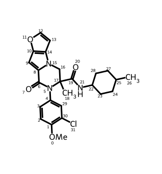 COc1ccc(N2C(=O)c3cc4occc4n3CC2(C)C(=O)NC2CCC(C)CC2)cc1Cl